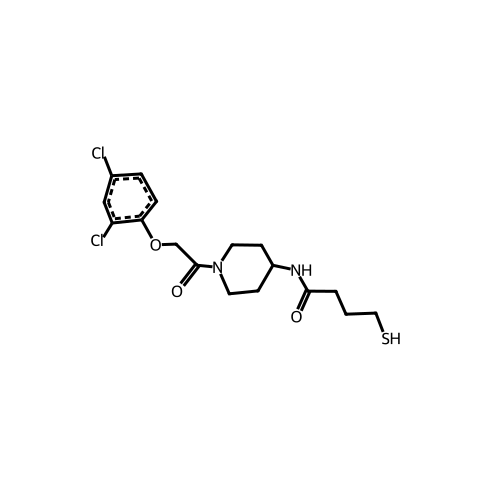 O=C(CCCS)NC1CCN(C(=O)COc2ccc(Cl)cc2Cl)CC1